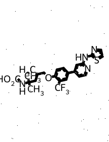 C[C@H](COc1ccc(-c2ccnc(Nc3nccs3)c2)cc1C(F)(F)F)CC(C)(C)NC(=O)O